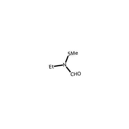 CCN(C=O)SC